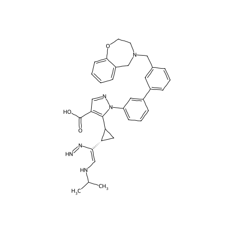 CC(C)N/C=C(\N=N)[C@H]1CC1c1c(C(=O)O)cnn1-c1cccc(-c2cccc(CN3CCOc4ccccc4C3)c2)c1